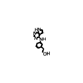 OCCc1cccc(Nc2ncnc3[nH]c[c]c23)c1